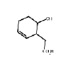 O=C(O)CC1C=CCCC1O